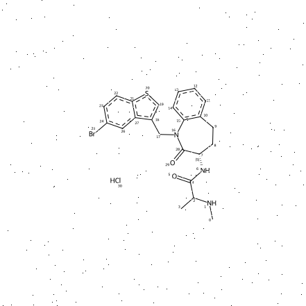 CNC(C)C(=O)N[C@H]1CCc2ccccc2N(Cc2csc3ccc(Br)cc23)C1=O.Cl